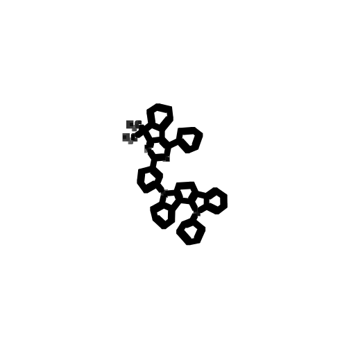 CC1(C)c2ccccc2-c2c(-c3ccccc3)nc(-c3cccc(-n4c5ccccc5c5c4ccc4c6ccccc6n(-c6ccccc6)c45)c3)nc21